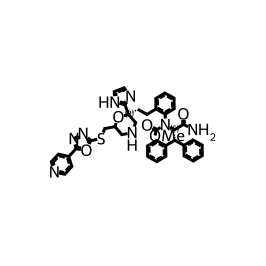 COC(=O)N(c1ccccc1CC[C@]1(c2ncc[nH]2)CNCC(CSc2nnc(-c3ccncc3)o2)O1)[C@H](C(N)=O)C(c1ccccc1)c1ccccc1